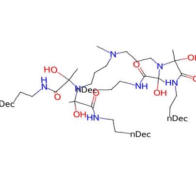 CCCCCCCCCCCCNC(=O)C(C)(O)N(CCCN(C)CCCN(C(C)(O)C(=O)NCCCCCCCCCCCC)C(C)(O)C(=O)NCCCCCCCCCCCC)C(C)(O)C(=O)NCCCCCCCCCCCC